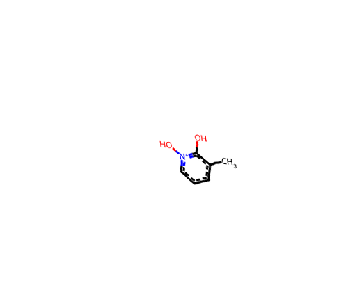 Cc1ccc[n+](O)c1O